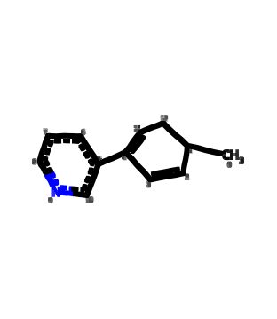 CC1C=CC(c2cccnc2)=CC1